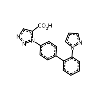 O=C(O)c1cnnn1-c1ccc(-c2ccccc2-n2cccn2)cc1